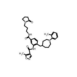 Cc1ccccc1N1CCCC(Cc2ccc(C(=O)NCCCN3CCCC3=O)cc2NC(=O)c2cnoc2C)CC1